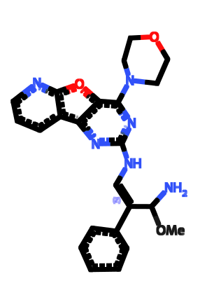 COC(N)/C(=C\Nc1nc(N2CCOCC2)c2oc3ncccc3c2n1)c1ccccc1